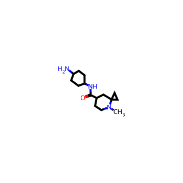 CN1CCC(C(=O)NC2CCC(N)CC2)CC12CC2